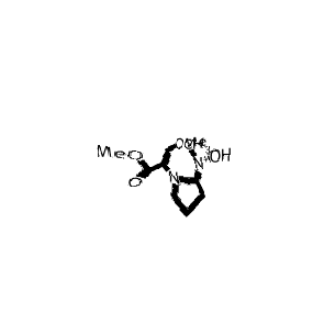 CO/C=C(/C(=O)OC)N1CC=CC1=[N+](C)O